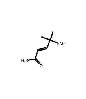 CNC(C)(C)/C=C/C(N)=O